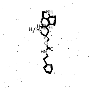 CN1C[C@H](COC(=O)NCCc2ccccc2)C[C@@H]2c3cccc4[nH]cc(c34)C[C@H]21